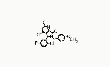 COc1ccc(CN2C(=O)c3nc(Cl)cc(Cl)c3C2c2cc(F)ccc2Cl)cc1